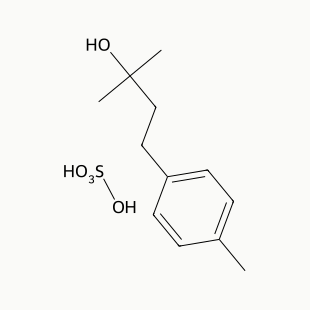 Cc1ccc(CCC(C)(C)O)cc1.O=S(=O)(O)O